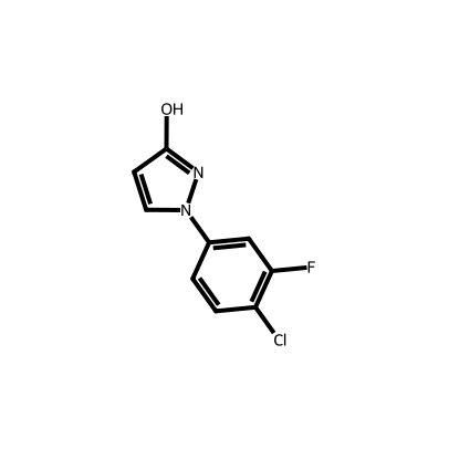 Oc1ccn(-c2ccc(Cl)c(F)c2)n1